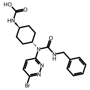 O=C(O)N[C@H]1CC[C@H](N(C(=O)NCc2ccccc2)c2ccc(Br)nn2)CC1